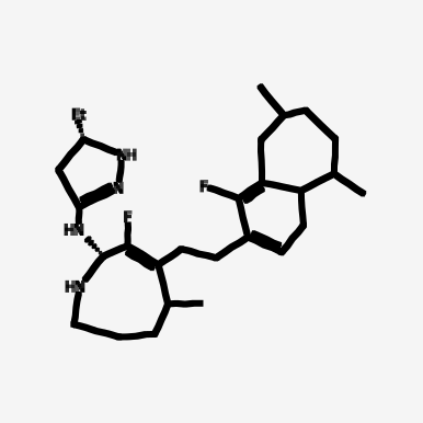 CC[C@H]1CC(N[C@H]2NCCCC(C)/C(CCC3=CCC4C(=C3F)CC(C)CCC4C)=C\2F)=NN1